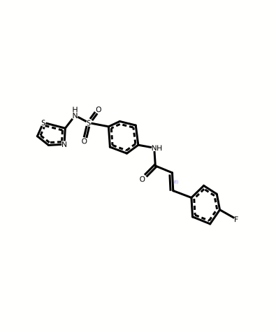 O=C(/C=C/c1ccc(F)cc1)Nc1ccc(S(=O)(=O)Nc2nccs2)cc1